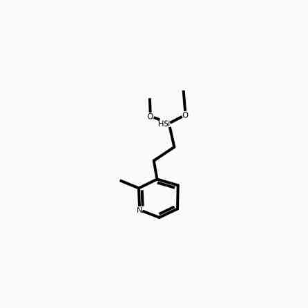 CO[SiH](CCc1cccnc1C)OC